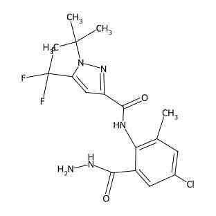 Cc1cc(Cl)cc(C(=O)NN)c1NC(=O)c1cc(C(F)(F)F)n(C(C)(C)C)n1